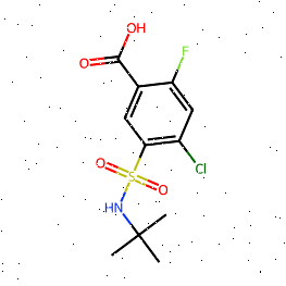 CC(C)(C)NS(=O)(=O)c1cc(C(=O)O)c(F)cc1Cl